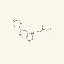 C1=CC(c2ccc3ccn(CCNC4CC4)c3c2)CCS1